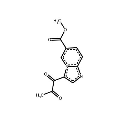 COC(=O)c1ccc2ncc(C(=O)C(C)=O)n2c1